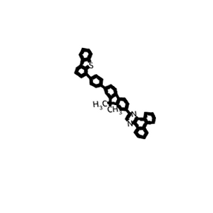 CC1(C)c2cc(-c3ccc(-c4cccc5c4sc4ccccc45)cc3)ccc2-c2ccc(-c3cnc4c5ccccc5c5ccccc5c4n3)cc21